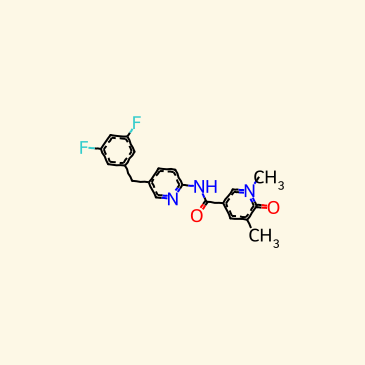 Cc1cc(C(=O)Nc2ccc(Cc3cc(F)cc(F)c3)cn2)cn(C)c1=O